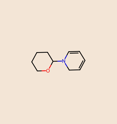 C1=CCN(C2CCCCO2)C=C1